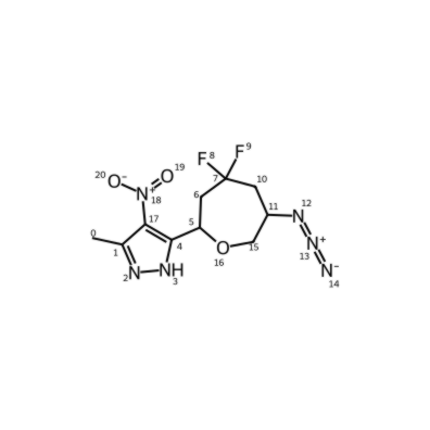 Cc1n[nH]c(C2CC(F)(F)CC(N=[N+]=[N-])CO2)c1[N+](=O)[O-]